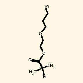 CC(C)CCCOCCOC(=O)C(C)(C)Br